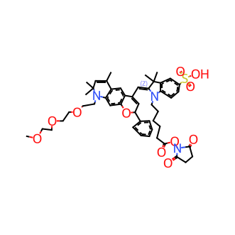 COCCOCCOCCN1c2cc3c(cc2C(C)=CC1(C)C)C(/C=C1\N(CCCCCC(=O)ON2C(=O)CCC2=O)c2ccc(S(=O)(=O)O)cc2C1(C)C)=CC(c1ccccc1)O3